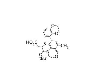 CC1=C[C@@H](c2cccc3c2OCCO3)C2=C3C1=COC[C@H](C(C)(C)C)N3C(=O)[C@H](CC(=O)O)S2